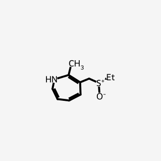 CC[S@@+]([O-])CC1=C(C)NC=CC=C1